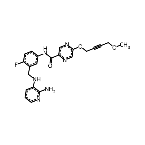 COCC#CCOc1cnc(C(=O)Nc2ccc(F)c(CNc3cccnc3N)c2)cn1